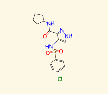 O=C(NC1CCCC1)c1n[nH]cc1NS(=O)(=O)c1ccc(Cl)cc1